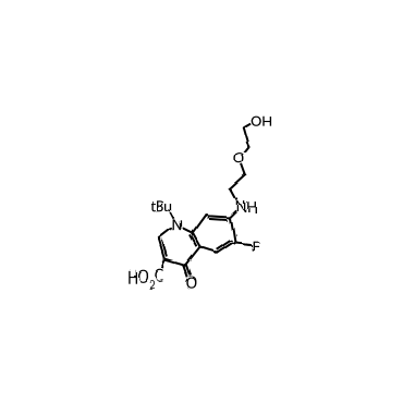 CC(C)(C)n1cc(C(=O)O)c(=O)c2cc(F)c(NCCOCCO)cc21